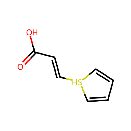 O=C(O)C=C[SH]1C=CC=C1